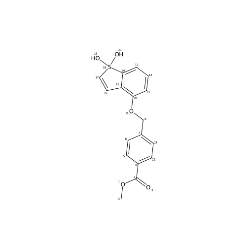 COC(=O)c1ccc(COc2cccc3c2C=CS3(O)O)cc1